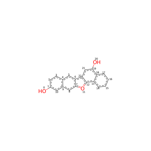 Oc1ccc2cc3c(cc2c1)oc1c2ccccc2c(O)cc31